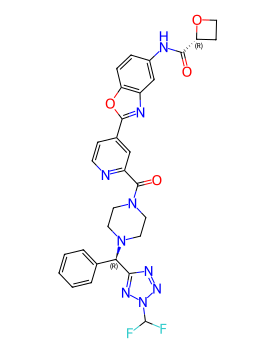 O=C(Nc1ccc2oc(-c3ccnc(C(=O)N4CCN([C@H](c5ccccc5)c5nnn(C(F)F)n5)CC4)c3)nc2c1)[C@H]1CCO1